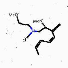 C=C(/C=C\C=C/C)[C@@H](CN(CC)CCOC)NC